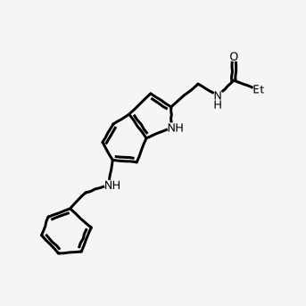 CCC(=O)NCc1cc2ccc(NCc3ccccc3)cc2[nH]1